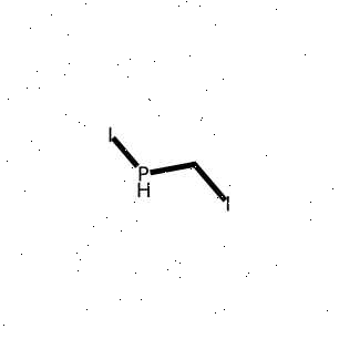 ICPI